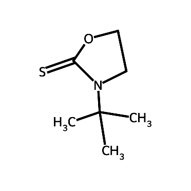 CC(C)(C)N1CCOC1=S